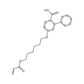 C=CC(=O)OCCCCCCOc1ccc(C(=O)O)c(-c2ccccc2)c1